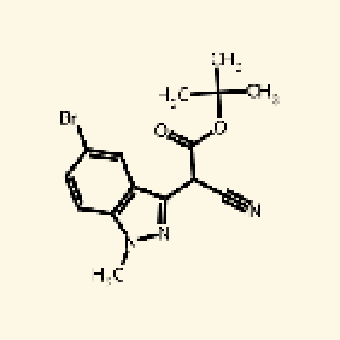 Cn1nc(C(C#N)C(=O)OC(C)(C)C)c2cc(Br)ccc21